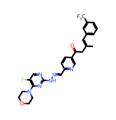 C/C(=C\c1cccc(C(F)(F)F)c1)CC(=O)c1ccc(/C=N/Nc2ncc(F)c(N3CCOCC3)n2)nc1